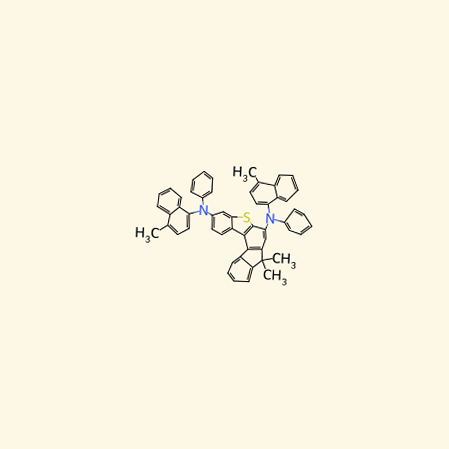 Cc1ccc(N(c2ccccc2)c2ccc3c(c2)sc2c(N(c4ccccc4)c4ccc(C)c5ccccc45)cc4c(c23)-c2ccccc2C4(C)C)c2ccccc12